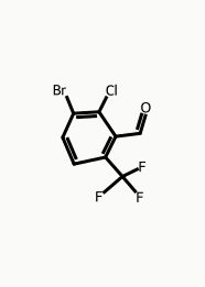 O=Cc1c(C(F)(F)F)ccc(Br)c1Cl